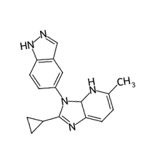 CC1=CC=C2N=C(C3CC3)N(c3ccc4[nH]ncc4c3)C2N1